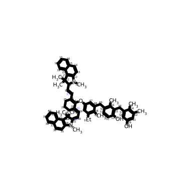 CCc1cc(OC2=C(/C=C/C3N(C)c4ccc5ccccc5c4C3(C)C)CCC/C2=C\C=C2\N(C)c3ccc4ccccc4c3C2(C)C)cc(Cc2ccc(O)c(Cc3cc(O)cc(C)c3C)c2C)c1C